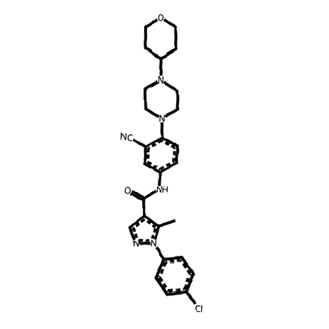 Cc1c(C(=O)Nc2ccc(N3CCN(C4CCOCC4)CC3)c(C#N)c2)cnn1-c1ccc(Cl)cc1